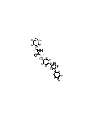 Cc1ccc(-c2nc(-c3ccc(OCC(=O)NCC4CCOCC4)cc3)no2)cc1